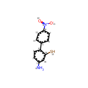 Nc1ccc(-c2ccc([N+](=O)[O-])cc2)c(S)c1